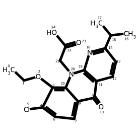 CCOc1c(Cl)ccc2c(=O)c3ccc(C(C)C)nc3n(CC(=O)O)c12